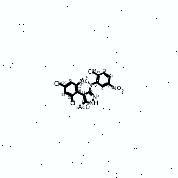 CC(=O)Oc1[nH]nc(N(C(C)=O)c2cc([N+](=O)[O-])ccc2Cl)c1-c1c(Cl)cc(Cl)cc1Cl